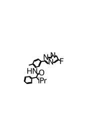 Cc1ccc(-c2cn3cc(F)cnc3n2)cc1NC(=O)C(c1ccccc1)C(C)C